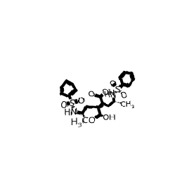 C[C@H](C/C(C(=O)O)=C(/C[C@@H](C)NS(=O)(=O)c1ccccc1)C(=O)O)NS(=O)(=O)c1ccccc1